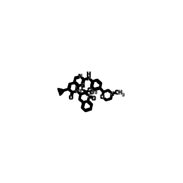 CN1CCOC(c2ccc(Nc3ncc4cc(C5CC5)c(=O)n(C5Cc6ccccc6S(=O)(=O)C5(C)C)c4n3)cc2)C1